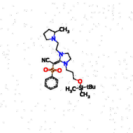 CC1CCCN1CCN1CCN(CCCO[Si](C)(C)C(C)(C)C)C1=C(C#N)S(=O)(=O)c1ccccc1